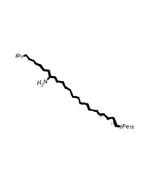 CCCCC/C=C/C/C=C/CCCCCCCCCCCC(N)CCCCCCCC(C)C